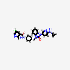 Cc1ncc(Cl)cc1C(=O)N[C@H]1CC[C@H](Cn2c(=O)n(-c3ccc(NC4CC4)nc3)c3ccccc32)CC1